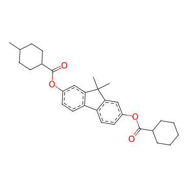 CC1CCC(C(=O)Oc2ccc3c(c2)C(C)(C)c2cc(OC(=O)C4CCCCC4)ccc2-3)CC1